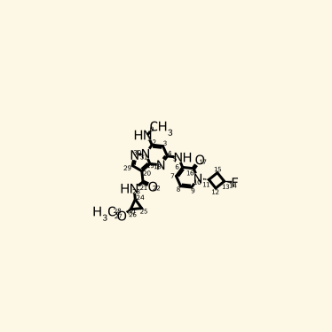 CNc1cc(Nc2cccn([C@H]3C[C@H](F)C3)c2=O)nc2c(C(=O)NC3C[C@H]3OC)cnn12